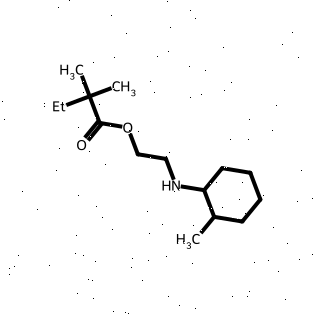 CCC(C)(C)C(=O)OCCNC1CCCCC1C